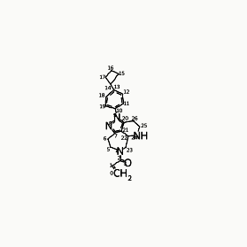 C=CC(=O)N1CCc2nn(-c3ccc(C4CCC4)cc3)c3c2C(C1)NCC3